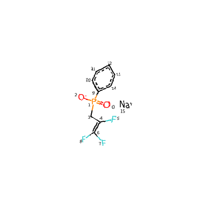 O=P([O-])(CC(F)=C(F)F)c1ccccc1.[Na+]